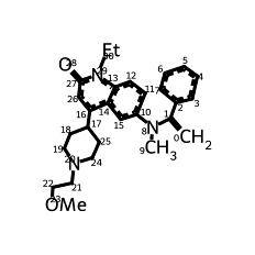 C=C(c1ccccc1)N(C)c1ccc2c(c1)c(C1CCN(CCOC)CC1)cc(=O)n2CC